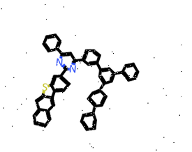 c1ccc(-c2ccc(-c3cc(-c4ccccc4)cc(-c4cccc(-c5cc(-c6ccccc6)nc(-c6ccc7c(c6)sc6cc8ccccc8cc67)n5)c4)c3)cc2)cc1